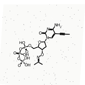 CC#Cc1cn([C@H]2C[C@@H](ON=C(C)C)C(COP(=O)(O)OP(=O)(O)OP(=O)(O)O)O2)c(=O)nc1N